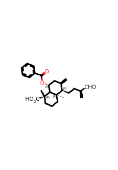 C=C(C=O)CC[C@@H]1C(=C)C[C@@H](OC(=O)c2ccccc2)C2[C@](C)(C(=O)O)CCC[C@@]21C